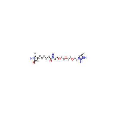 CC1CN(CCOCCOCCOCCNC(=O)CCCCC[C@H]2CC(=O)N[C@H]2C)NN1